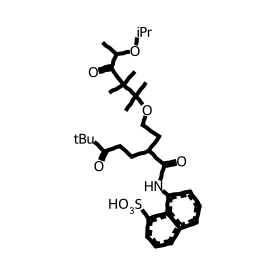 CC(C)OC(C)C(=O)C(C)(C)C(C)(C)OCCC(CCC(=O)C(C)(C)C)C(=O)Nc1cccc2cccc(S(=O)(=O)O)c12